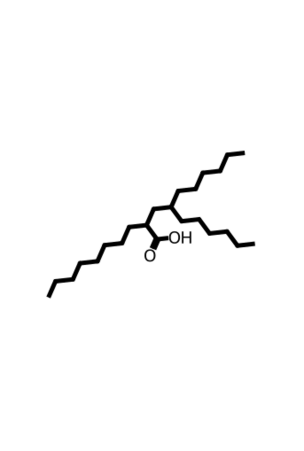 CCCCCCCCC(CC(CCCCCC)CCCCCC)C(=O)O